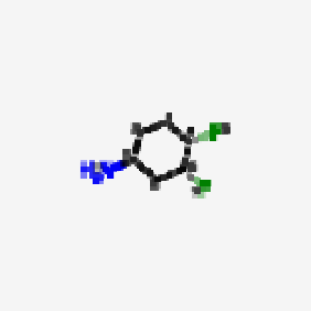 N[C@H]1CC[C@H](F)[C@H](F)C1